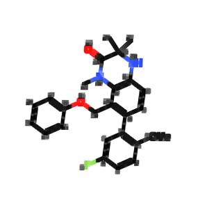 COc1ccc(F)cc1-c1ccc2c(c1COc1ccccc1)N(C)C(=O)C(C)(C)N2